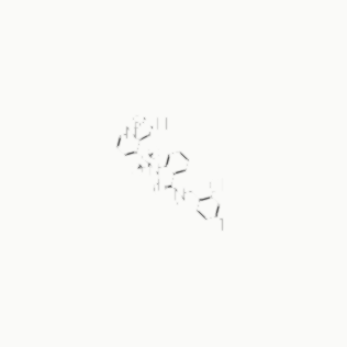 CN(Cc1ccc(F)cc1Cl)C(=O)c1ccccc1NS(=O)(=O)C1=CC=CN2SNC=C12